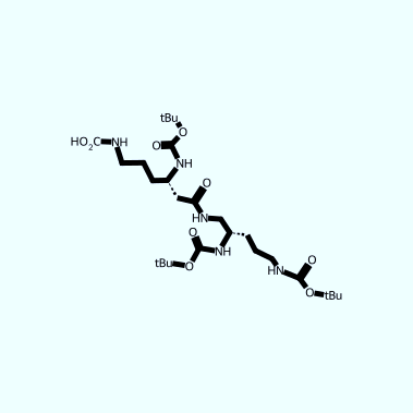 CC(C)(C)OC(=O)NCCC[C@@H](CNC(=O)C[C@H](CCCNC(=O)O)NC(=O)OC(C)(C)C)NC(=O)OC(C)(C)C